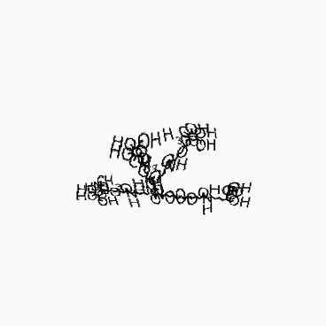 CC(=O)NC1C(OCCOCCC(=O)NCCCC[C@H](NC(=O)[C@H](CCCCNC(=O)CCOCCOC2OC(CO)C(O)C(O)C2C)NC(=O)CCOCCOC2OC(CO)C(O)C(O)C2C)C(=O)NCCOCCOCCOCCC(=O)NCCCCC(CO)COP(=O)(O)O)OC(CO)C(O)C1O